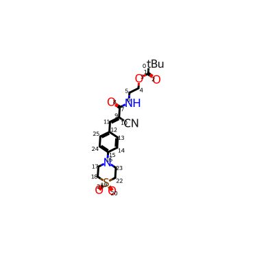 CC(C)(C)C(=O)OCCNC(=O)/C(C#N)=C/c1ccc(N2CCS(=O)(=O)CC2)cc1